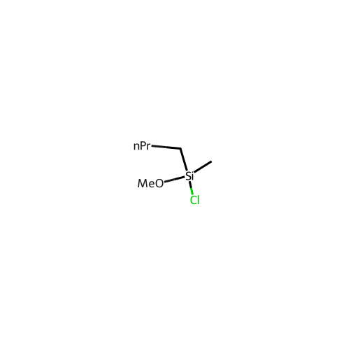 CCCC[Si](C)(Cl)OC